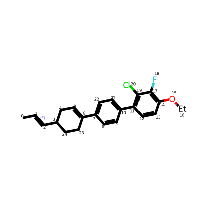 C/C=C/C1CC=C(c2ccc(-c3ccc(OCC)c(F)c3Cl)cc2)CC1